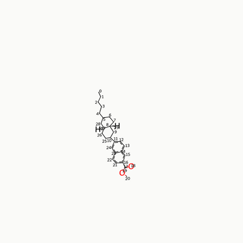 CCCCCC1CC[C@@H]2CC(c3ccc4cc(C(=O)OC)ccc4c3)CC[C@H]2C1